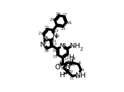 Nc1cc(C(=O)N2[C@H]3CCNC[C@@H]2CC3)cc(-c2cnn3ccc(-c4ccccc4)nc23)n1